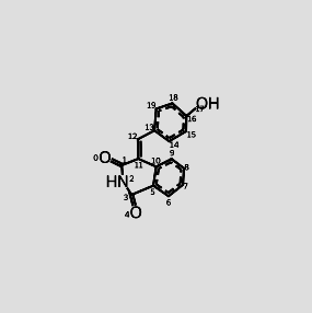 O=C1NC(=O)c2ccccc2/C1=C\c1ccc(O)cc1